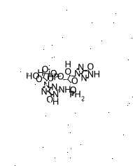 Nc1nc2c(ncn2[C@@H]2O[C@@]3(OPOC[C@H]4[C@@H](O)[C@H](n5cnc6c(=O)[nH]cnc65)O[C@@H]4COP)CO[C@H]3[C@H]2OO)c(=O)[nH]1